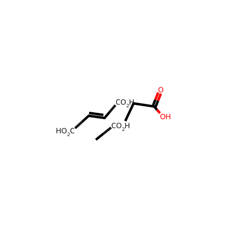 CC(=O)O.CCC(=O)O.O=C(O)C=CC(=O)O